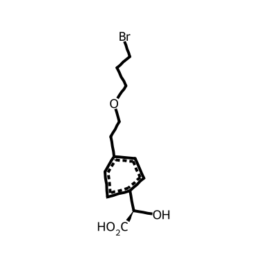 O=C(O)[C@H](O)c1ccc(CCOCCCBr)cc1